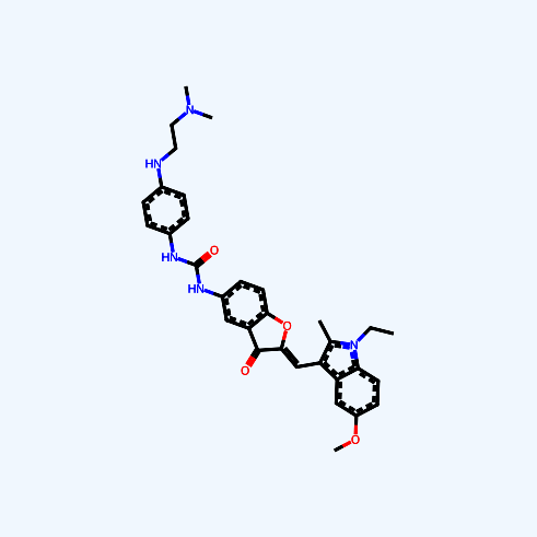 CCn1c(C)c(C=C2Oc3ccc(NC(=O)Nc4ccc(NCCN(C)C)cc4)cc3C2=O)c2cc(OC)ccc21